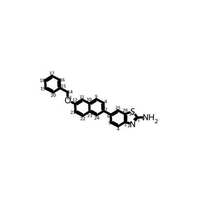 Nc1nc2ccc(-c3ccc4cc(OCc5ccccc5)ccc4c3)cc2s1